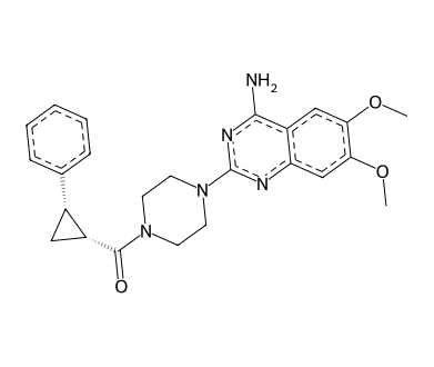 COc1cc2nc(N3CCN(C(=O)[C@@H]4C[C@@H]4c4ccccc4)CC3)nc(N)c2cc1OC